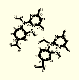 CCN(c1nc(C)cc(C)n1)c1ccc(C(C)C)cc1SC.CCN(c1nc(C)cc(C)n1)c1ccc(C(C)C)cc1SC